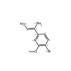 COc1nc(/C(N)=C/O)ccc1Br